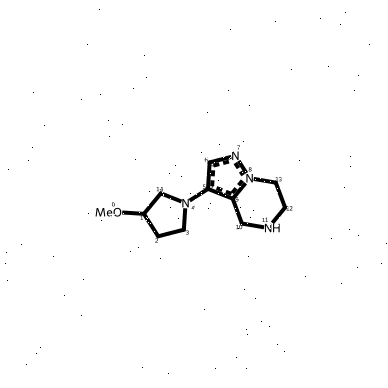 COC1CCN(c2cnn3c2CNCC3)C1